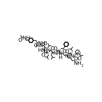 CC(=O)NCc1ccc(CC(=O)NNC(=O)[C@H](CC(C)C)NC(=O)[C@@H](CC(C)C)NC(=O)[C@H](CC(C)C)NC(=O)[C@H](CCc2ccccc2)NC(=O)CN(CCCCN)C(=O)[C@H](CC(C)C)NC(=O)[C@@H]2CCCN2C(C)=O)cc1